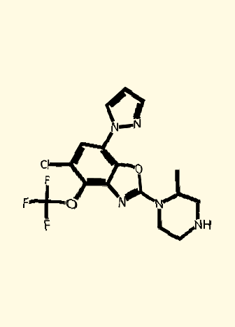 CC1CNCCN1c1nc2c(OC(F)(F)F)c(Cl)cc(-n3cccn3)c2o1